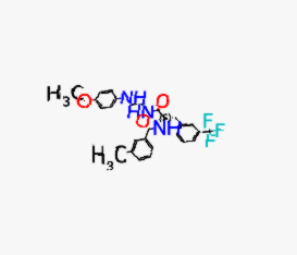 COc1ccc(NCCNC(=O)[C@H](Cc2cccc(C(F)(F)F)c2)NC(=O)c2cccc(C)c2)cc1